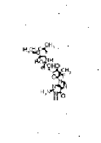 CCOC(=O)[C@H](CC(C)C)NP(=O)(O)OC[C@H]1O[C@@H](n2cnc3c(=O)[nH]c(N)nc32)[C@@](C)(F)C1O